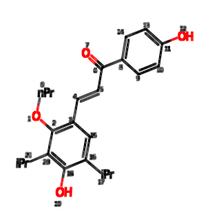 CCCOc1c(C=CC(=O)c2ccc(O)cc2)cc(C(C)C)c(O)c1C(C)C